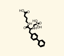 O=C(O)CCCNC(=O)C(Cc1ccc(-c2ccccc2)cc1)NCP(=O)(O)O